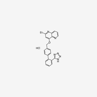 CCc1cc(OCc2ccc(-c3ccccc3-c3nnn[nH]3)cc2)c2ncccc2n1.Cl